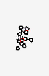 c1ccc(-c2ccc(N3c4cc(N(c5ccccc5)c5ccccc5-c5ccccc5)ccc4Oc4ccc(N(c5ccccc5)c5ccccc5-c5ccccc5)cc43)cc2)cc1